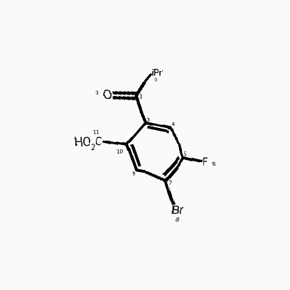 CC(C)C(=O)c1cc(F)c(Br)cc1C(=O)O